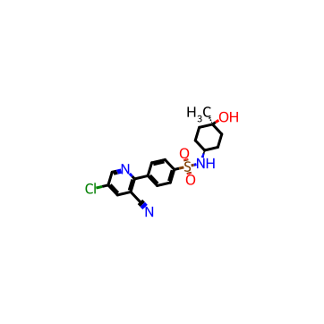 C[C@]1(O)CC[C@@H](NS(=O)(=O)c2ccc(-c3ncc(Cl)cc3C#N)cc2)CC1